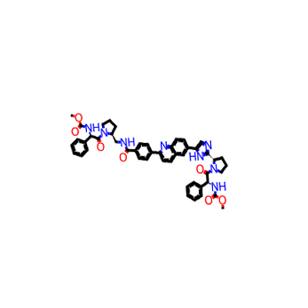 COC(=O)N[C@@H](C(=O)N1CCC[C@H]1CNC(=O)c1ccc(-c2ccc3cc(-c4cnc([C@@H]5CCCN5C(=O)[C@H](NC(=O)OC)c5ccccc5)[nH]4)ccc3n2)cc1)c1ccccc1